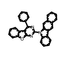 c1ccc(-c2nc(-n3c4ccccc4c4cc5ccccc5cc43)nc3oc4ccccc4c23)cc1